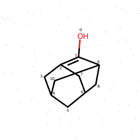 OC1=C2CC3CC(C2)CC1C3